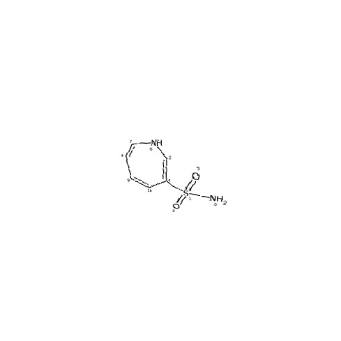 NS(=O)(=O)C1=CNC=CC=C1